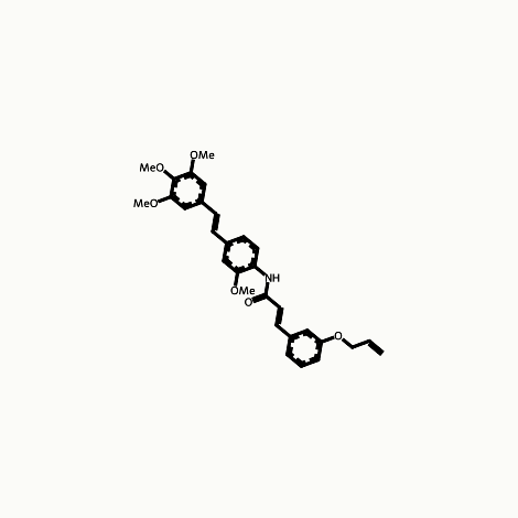 C=CCOc1cccc(/C=C/C(=O)Nc2ccc(C=Cc3cc(OC)c(OC)c(OC)c3)cc2OC)c1